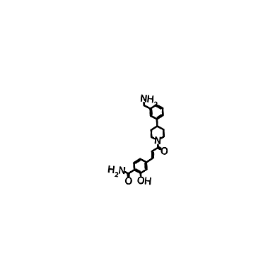 NCc1cccc(C2CCN(C(=O)C=Cc3ccc(C(N)=O)c(O)c3)CC2)c1